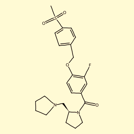 CS(=O)(=O)c1ccc(COc2ccc(C(=O)N3CCC[C@H]3CN3CCCC3)cc2F)cc1